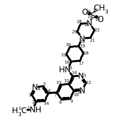 CNc1cncc(-c2ccc3ncnc(NC4CCC(N5CCN(S(C)(=O)=O)CC5)CC4)c3c2)c1